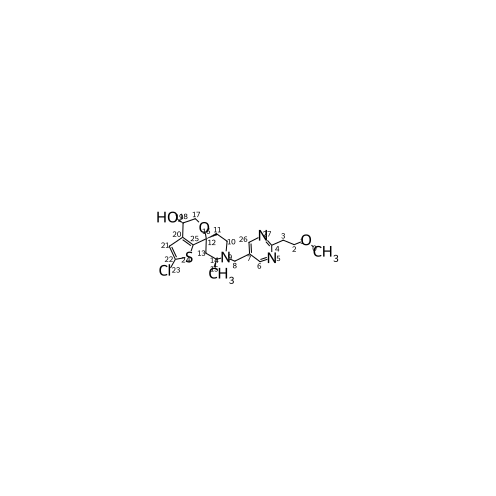 COCCc1ncc(CN2CC[C@]3(C[C@@H]2C)OC[C@H](O)c2cc(Cl)sc23)cn1